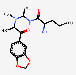 CC(NC(=O)C(N)CCC(=O)O)N(C)C(C)C(=O)c1ccc2c(c1)OCO2